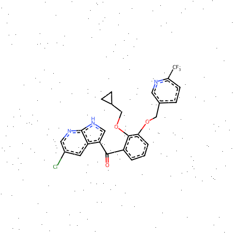 O=C(c1cccc(OCc2ccc(C(F)(F)F)nc2)c1OCC1CC1)c1c[nH]c2ncc(Cl)cc12